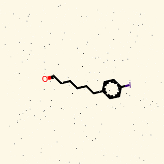 O=[C]CCCCCc1ccc(I)cc1